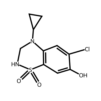 O=S1(=O)NCN(C2CC2)c2cc(Cl)c(O)cc21